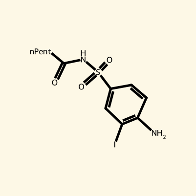 CCCCCC(=O)NS(=O)(=O)c1ccc(N)c(I)c1